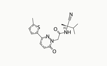 Cc1ccc(-c2ccc(=O)n(CC(=O)N[C@](C)(C#N)C(C)C)n2)s1